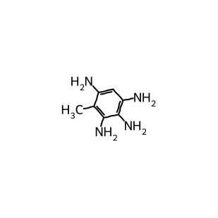 Cc1c(N)cc(N)c(N)c1N